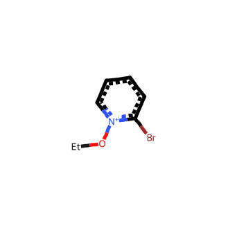 CCO[n+]1ccccc1Br